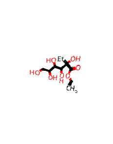 C=COC(=O)C(O)(CC)C(O)C(O)C(O)CO